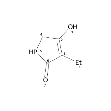 CCC1=C(O)CPC1=O